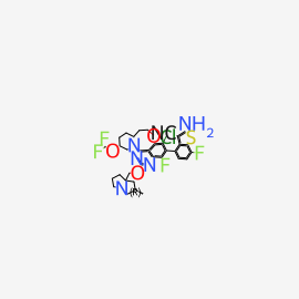 C[C@H]1CN2CCCC2(COc2nc3c4c(c(Cl)c(-c5ccc(F)c6sc(N)c(C#N)c56)c(F)c4n2)OCCC2CCC(OC(F)F)CN32)C1